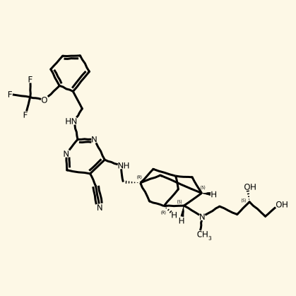 CN(CC[C@H](O)CO)[C@@H]1[C@@H]2CC3C[C@H]1C[C@](CNc1nc(NCc4ccccc4OC(F)(F)F)ncc1C#N)(C3)C2